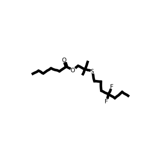 CCCCCC(=O)OCC(C)(C)SCCCC(F)(F)CCC